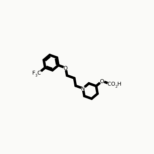 O=C(O)OC1CCCN(CCCOc2cccc(C(F)(F)F)c2)C1